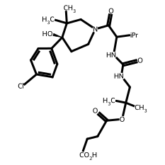 CC(C)C(NC(=O)NCC(C)(C)OC(=O)CCC(=O)O)C(=O)N1CC[C@](O)(c2ccc(Cl)cc2)C(C)(C)C1